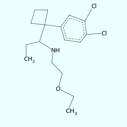 CCOCCNC(CC)C1(c2ccc(Cl)c(Cl)c2)CCC1